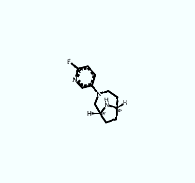 Fc1ccc(N2CC[C@@H]3CC[C@H](C2)N3)cn1